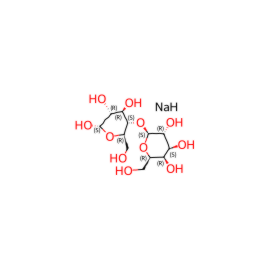 OC[C@H]1O[C@@H](O[C@H]2[C@H](O)[C@@H](O)[C@@H](O)O[C@@H]2CO)[C@H](O)[C@@H](O)[C@H]1O.[NaH]